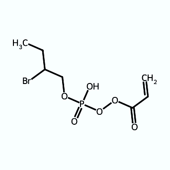 C=CC(=O)OOP(=O)(O)OCC(Br)CC